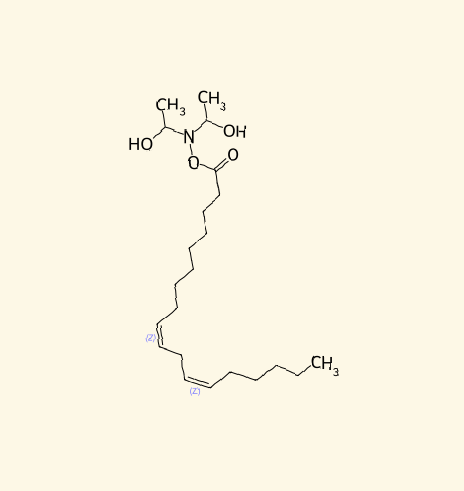 CCCCC/C=C\C/C=C\CCCCCCCC(=O)ON(C(C)O)C(C)O